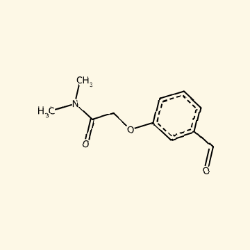 CN(C)C(=O)COc1cccc(C=O)c1